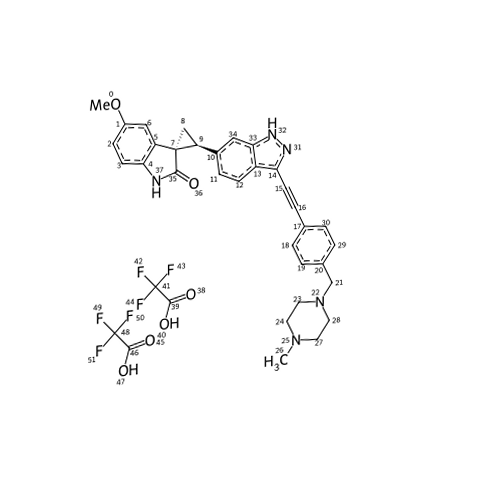 COc1ccc2c(c1)[C@]1(C[C@H]1c1ccc3c(C#Cc4ccc(CN5CCN(C)CC5)cc4)n[nH]c3c1)C(=O)N2.O=C(O)C(F)(F)F.O=C(O)C(F)(F)F